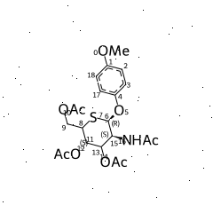 COc1ccc(O[C@@H]2SC(COC(C)=O)[C@@H](OC(C)=O)C(OC(C)=O)[C@@H]2NC(C)=O)cc1